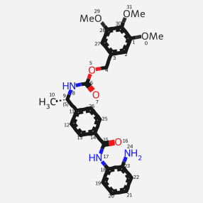 COc1cc(COC(=O)N[C@@H](C)c2ccc(C(=O)Nc3ccccc3N)cc2)cc(OC)c1OC